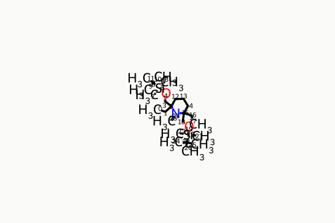 CCC1(CO[Si](C)(C)C(C)(C)C)CCCC(CC)(CO[Si](C)(C)C(C)(C)C)N1C